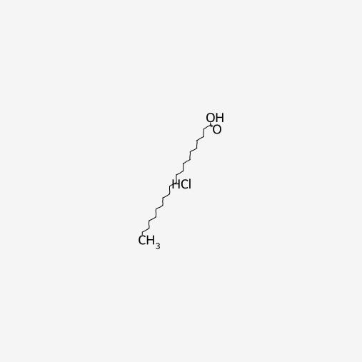 CCCCCCCCCCCCCCCCCCCCC(=O)O.Cl